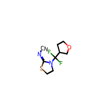 N#C/N=C1/SCCN1C(F)(F)C1CCOC1